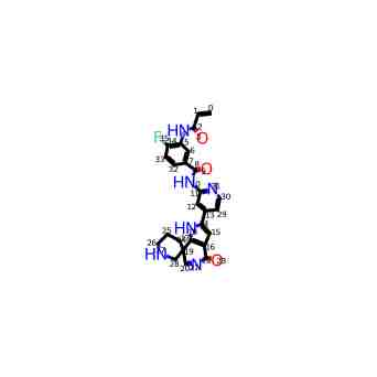 C=CC(=O)Nc1cc(C(=O)Nc2cc(-c3cc4c([nH]3)C3(C=NC4=O)CCCNC3)ccn2)ccc1F